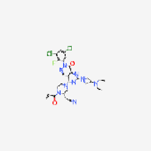 C=CC(=O)N1CCN(c2nc(N3CC(N(CC)CC)C3)nc3c(=O)n(-c4cc(Cl)cc(Cl)c4F)ncc23)CC1CC#N